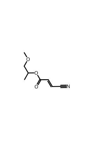 COCC(C)OC(=O)C=CC#N